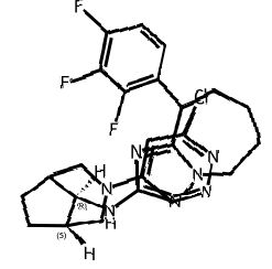 Fc1ccc(C2CCCCn3nc(N[C@@H]4C5CC[C@H]4CN(c4cnnc(Cl)c4)C5)nc32)c(F)c1F